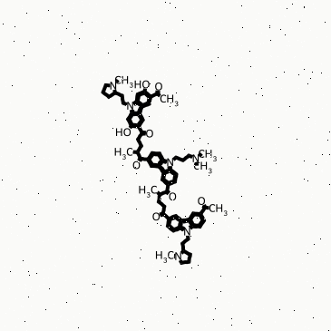 CC(=O)c1ccc2c(c1)c1cc(C(=O)CCC(C)C(=O)c3ccc4c(c3)c3cc(C(=O)C(C)CCC(=O)c5cc6c7cc(C(C)=O)c(O)cc7n(CCC7CCCN7C)c6cc5O)ccc3n4CCCN(C)C)ccc1n2CCC1CCCN1C